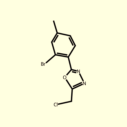 Cc1ccc(-c2nnc(CCl)o2)c(Br)c1